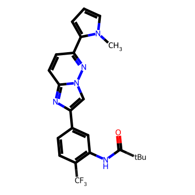 Cn1cccc1-c1ccc2nc(-c3ccc(C(F)(F)F)c(NC(=O)C(C)(C)C)c3)cn2n1